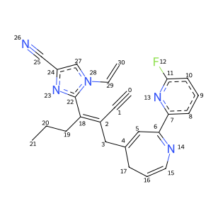 C#C/C(CC1=CC(c2cccc(F)n2)=NC=CC1)=C(/CCC)c1nc(C#N)cn1C=C